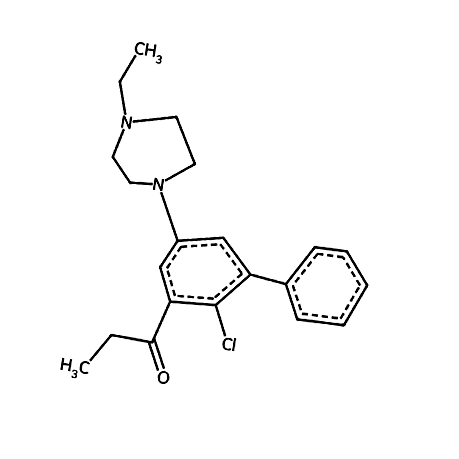 CCC(=O)c1cc(N2CCN(CC)CC2)cc(-c2ccccc2)c1Cl